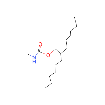 CCCCCCC(CCCCCC)COC(=O)NC